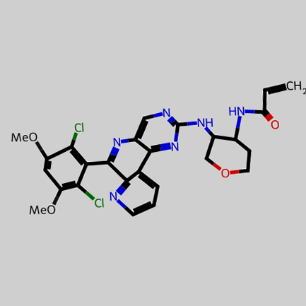 C=CC(=O)NC1CCOCC1Nc1ncc2nc(-c3c(Cl)c(OC)cc(OC)c3Cl)c3ncccc3c2n1